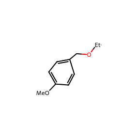 C[CH]OCc1ccc(OC)cc1